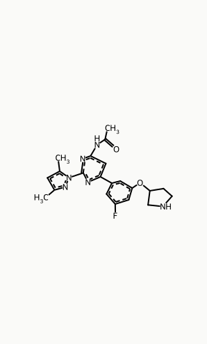 CC(=O)Nc1cc(-c2cc(F)cc(OC3CCNC3)c2)nc(-n2nc(C)cc2C)n1